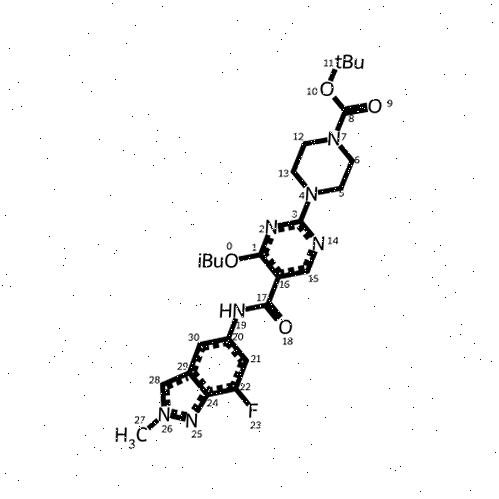 CC(C)COc1nc(N2CCN(C(=O)OC(C)(C)C)CC2)ncc1C(=O)Nc1cc(F)c2nn(C)cc2c1